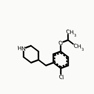 CC(C)Oc1ccc(Cl)c(CC2CCNCC2)c1